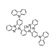 N#Cc1c(-n2c3ccc(-n4c5ccccc5c5ccccc54)cc3n3c4ccccc4nc23)cccc1-n1c2ccc(-n3c4ccccc4c4ccccc43)cc2n2c3ccccc3nc12